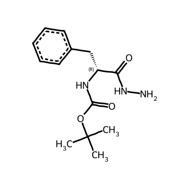 CC(C)(C)OC(=O)N[C@H](Cc1ccccc1)C(=O)NN